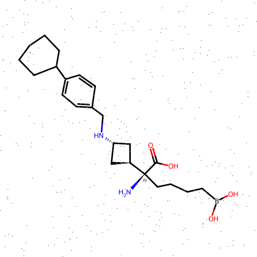 N[C@](CCCCB(O)O)(C(=O)O)[C@H]1C[C@H](NCc2ccc(C3CCCCC3)cc2)C1